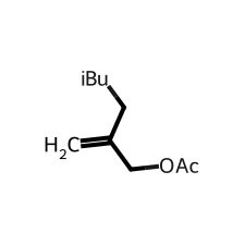 C=C(COC(C)=O)CC(C)CC